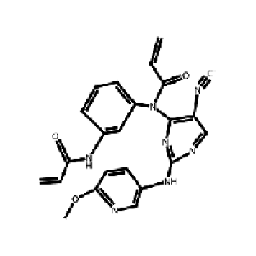 [C-]#[N+]c1cnc(Nc2ccc(OC)nc2)nc1N(C(=O)C=C)c1cccc(NC(=O)C=C)c1